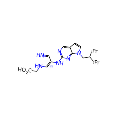 CC(C)C(Cn1ccc2cnc(N/C(C=N)=C/NCC(=O)O)nc21)C(C)C